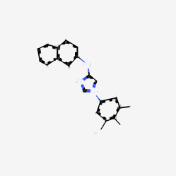 Cc1cc(-n2cnc(Nc3ccc4ccccc4c3)c2)cc(C)c1C